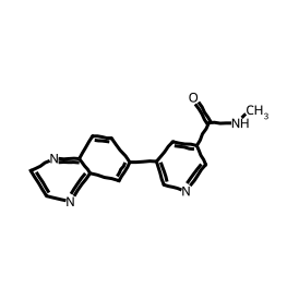 CNC(=O)c1cncc(-c2ccc3nccnc3c2)c1